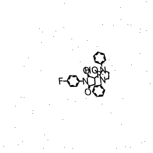 O=C1CC([P]2(O)N(c3ccccc3)CCN2c2ccccc2)C(=O)N1c1ccc(F)cc1